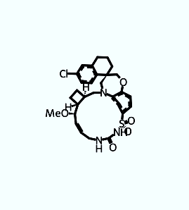 CO[C@@H]1/C=C\CNC(=O)NS(=O)(=O)c2ccc3c(c2)N(C[C@@H]2CC[C@H]21)C[C@@]1(CCCc2cc(Cl)ccc21)CO3